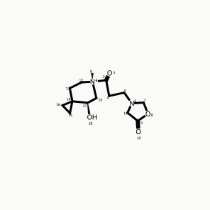 C[N@+]1(C(=O)CCN2COC(=O)C2)CCC2(CC2)[C@H](O)C1